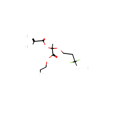 C=C(C)C(=O)OC(OCCC(F)(F)S(=O)(=O)O)(C(=O)OCCC(F)(F)F)C(F)(F)F